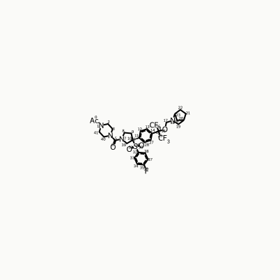 CC(=O)N1CCN(C(=O)N2CC[C@](c3ccc(C(OCN4CC5CCC4C5)(C(F)(F)F)C(F)(F)F)cc3)(S(=O)(=O)c3ccc(F)cc3)C2)CC1